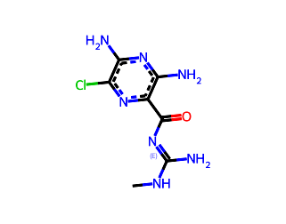 CN/C(N)=N/C(=O)c1nc(Cl)c(N)nc1N